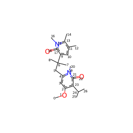 COc1cc(CC(C)(C)c2cc(C)c(C)n(C)c2=O)n(C)c(=O)c1C(C)C